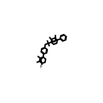 CC1=C(C)C2(c3ccc(CC(C)(C)C45CCC(c6ccccc6)(CC4)C(C)=C5C)cc3)CCC1(F)CC2